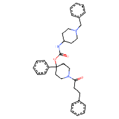 O=C(NC1CCN(Cc2ccccc2)CC1)OC1(c2ccccc2)CCN(C(=O)CCc2ccccc2)CC1